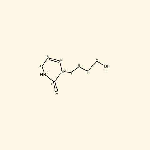 O=C1NCC=CN1CCCCO